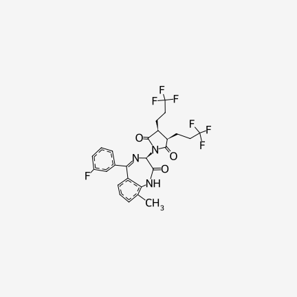 Cc1cccc2c1NC(=O)[C@H](N1C(=O)[C@@H](CCC(F)(F)F)[C@@H](CCC(F)(F)F)C1=O)N=C2c1cccc(F)c1